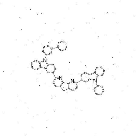 c1ccc(-c2cccc(-n3c4ccccc4c4cc(-c5ccc6c(n5)-c5nc(-c7ccc8c9ccccc9n(-c9ccccc9)c8c7)ccc5C6)ccc43)c2)cc1